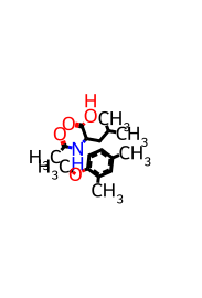 CC(=O)NC(CC(C)C)C(=O)O.COc1ccc(C)cc1C